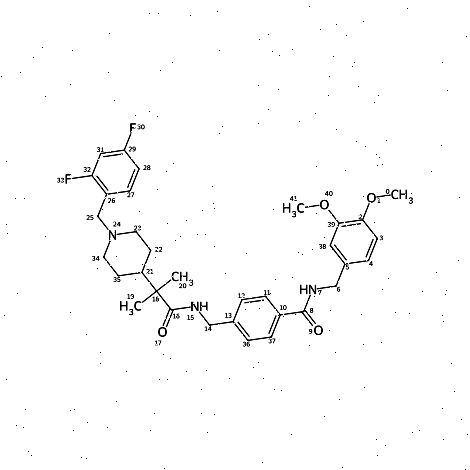 COc1ccc(CNC(=O)c2ccc(CNC(=O)C(C)(C)C3CCN(Cc4ccc(F)cc4F)CC3)cc2)cc1OC